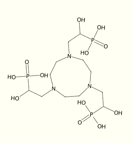 O=P(O)(O)C(O)CN1CCN(CC(O)P(=O)(O)O)CCN(CC(O)P(=O)(O)O)CC1